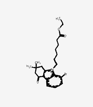 CCOC(=O)CCCCCCn1c2c(c3cccc(Br)c31)C(=O)CC(C)(C)C2